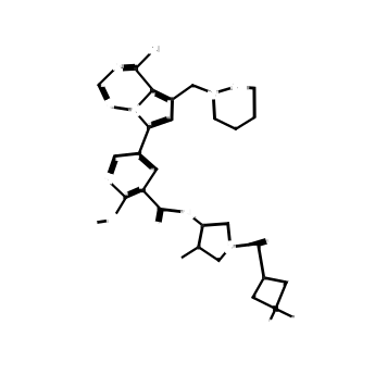 COc1ncc(-c2cc(CN3CCCCN3)c3c(N)ncnn23)cc1C(=O)NC1CN(C(=O)C2CC(F)(F)C2)CC1F